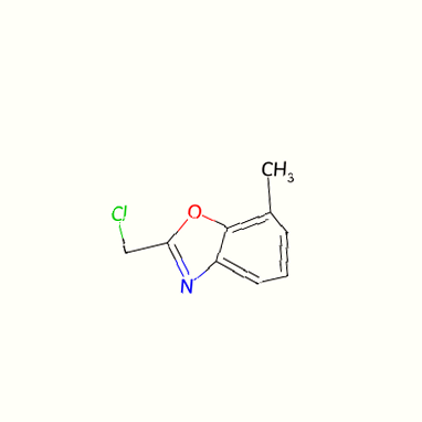 Cc1cccc2nc(CCl)oc12